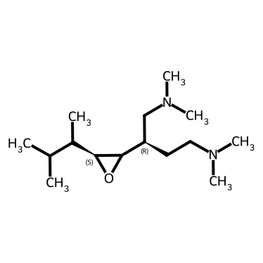 CC(C)C(C)[C@@H]1OC1[C@H](CCN(C)C)CN(C)C